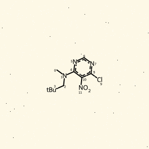 CN(CC(C)(C)C)c1ncnc(Cl)c1[N+](=O)[O-]